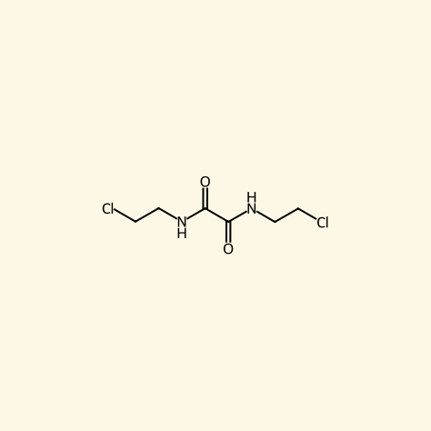 O=C(NCCCl)C(=O)NCCCl